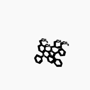 C=C/C=C\C(=C/C)Cn1c(-c2c(P(c3ccccc3)c3ccccc3)cc/c(=C/C)c2=C)nc(-c2ccccc2)c1-c1ccccc1